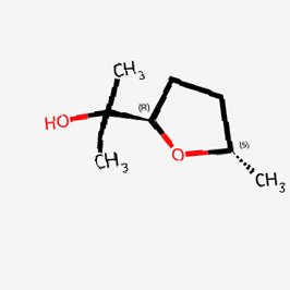 C[C@H]1CC[C@H](C(C)(C)O)O1